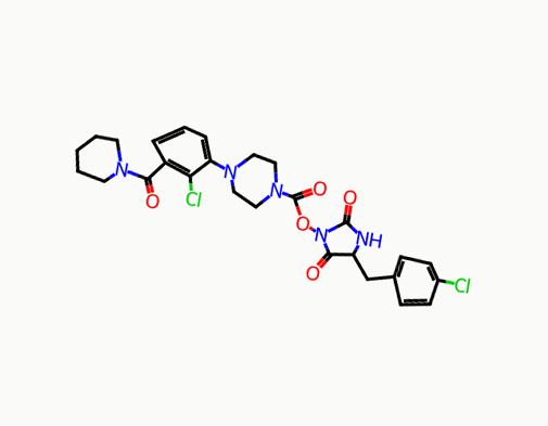 O=C(ON1C(=O)NC(Cc2ccc(Cl)cc2)C1=O)N1CCN(c2cccc(C(=O)N3CCCCC3)c2Cl)CC1